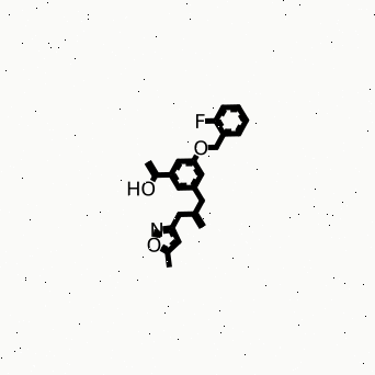 C=C(Cc1cc(OCc2ccccc2F)cc(C(=C)O)c1)Cc1cc(C)on1